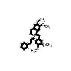 COc1ccc(/C=C2/c3cc(OC)c(OC)cc3CCN2C(=O)/C=C/c2ccccc2)cc1OC